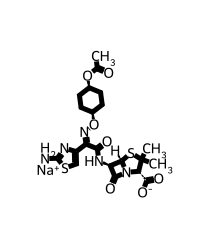 CC(=O)O[C@H]1CC[C@@H](O/N=C(\C(=O)N[C@@H]2C(=O)N3[C@@H]2SC(C)(C)[C@@H]3C(=O)[O-])c2csc(N)n2)CC1.[Na+]